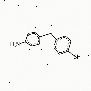 Nc1ccc(Cc2ccc(S)cc2)cc1